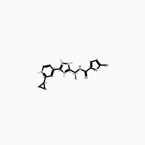 C[C@H](NC(=O)c1ccc(Br)s1)c1nc(-c2ccnc(C3CC3)c2)no1